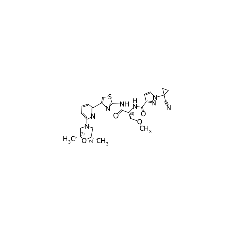 COC[C@H](NC(=O)c1ccn(C2(C#N)CC2)n1)C(=O)Nc1nc(-c2cccc(N3C[C@@H](C)O[C@@H](C)C3)n2)cs1